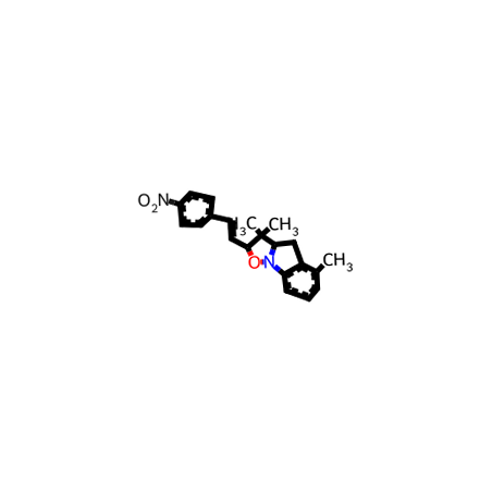 Cc1cccc2c1CC1N2OC(C=Cc2ccc([N+](=O)[O-])cc2)C1(C)C